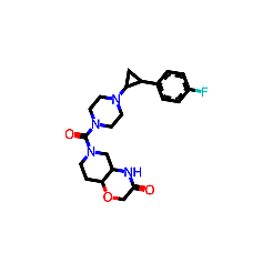 O=C1COC2CCN(C(=O)N3CCN(C4CC4c4ccc(F)cc4)CC3)CC2N1